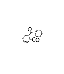 O=C=C1C=CC=CC1C(=O)c1ccccc1